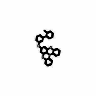 Cc1ccccc1-c1cccc(Oc2cc3c4c(c2)Oc2ccccc2B4c2ccccc2O3)c1